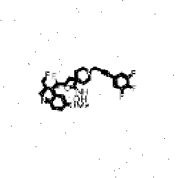 COc1ccc2ncc(CF)c([C@H](F)CCC3(C(=O)NO)CCN(CC#Cc4cc(F)c(F)c(F)c4)CC3)c2c1